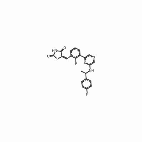 CC(Nc1cncc(-c2cccc(C=C3SC(=O)NC3=O)c2F)n1)c1ccc(F)cc1